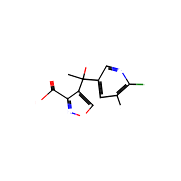 Cc1cc(C(C)(O)c2conc2C(=O)O)cnc1Cl